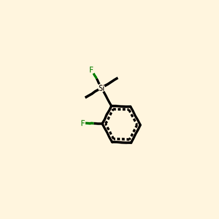 C[Si](C)(F)c1ccccc1F